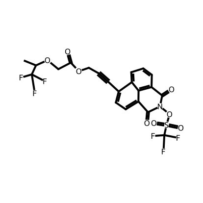 CC(OCC(=O)OCC#Cc1ccc2c3c(cccc13)C(=O)N(OS(=O)(=O)C(F)(F)F)C2=O)C(F)(F)F